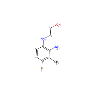 Cc1c(Br)ccc(NCCO)c1N